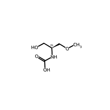 COC[C@H](CO)NC(=O)O